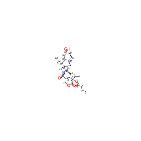 CCCC(=O)O[C@]1(CC)C(=O)OCc2c1cc1n(c2=O)Cc2c-1nc1ccc(O)cc1c2CC